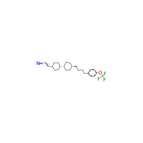 N#C/C=C/C1CCC([C@H]2CC[C@H](CCCCc3ccc(OC(F)(F)F)cc3)CC2)CC1